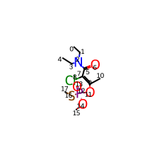 CCN(CC)C(=O)/C(Cl)=C(\C)OP(=O)(OC)SC